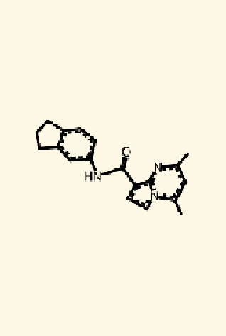 Cc1cc(C)n2ccc(C(=O)Nc3ccc4c(c3)CCC4)c2n1